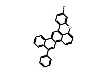 Clc1ccc2c(c1)Oc1cccc3c1c-2cc1c2ccccc2c(-c2ccccc2)cc31